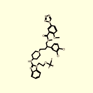 COc1ccc(-n2cnnn2)cc1C(=O)N(C)CC(CCN1CCC(Nc2nc3ccccc3n2CCOC(F)(F)F)CC1)c1ccc(Cl)c(Cl)c1